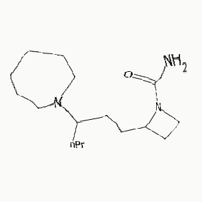 CCCC(CCC1CCN1C(N)=O)N1CCCCCC1